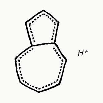 [H+].c1ccc2cccc-2cc1